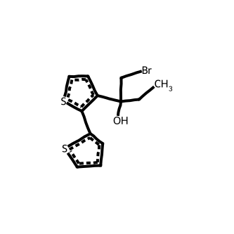 CCC(O)(CBr)c1ccsc1-c1cccs1